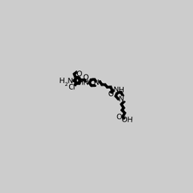 Nc1c(Cl)cc(C(=O)NC2CCN(CCCCCC(=O)NC3CCN(CCCCCC(=O)O)CC3)CC2)c2c1CCO2